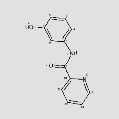 O=C(Nc1cccc(O)c1)c1ccccn1